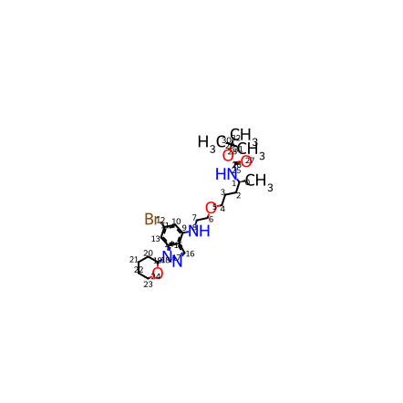 C[C@@H](CCCOCCNc1cc(Br)cc2c1cnn2C1CCCCO1)NC(=O)OC(C)(C)C